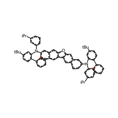 CC(C)c1cccc(N(c2ccc3cc4c(cc3c2)oc2cc3cc(N(c5cccc(C(C)C)c5)c5cc(C(C)(C)C)ccc5-c5ccccc5)ccc3cc24)c2cc(C(C)(C)C)ccc2-c2ccccc2)c1